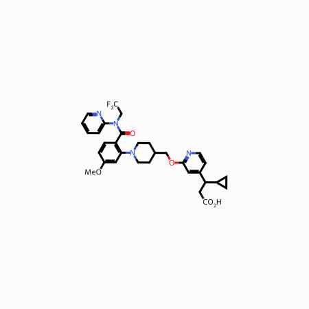 COc1ccc(C(=O)N(CC(F)(F)F)c2ccccn2)c(N2CCC(COc3cc(C(CC(=O)O)C4CC4)ccn3)CC2)c1